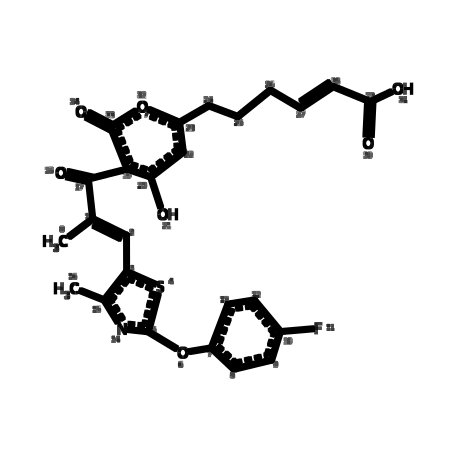 C/C(=C\c1sc(Oc2ccc(F)cc2)nc1C)C(=O)c1c(O)cc(CCC/C=C/C(=O)O)oc1=O